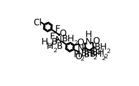 BN(C(=O)C(F)(F)c1ccc(Cl)cc1)C(B)(B)c1ccc2c(c1)CN([C@]1(B)C(=O)NC(=O)C(B)(B)C1(B)B)C2=O